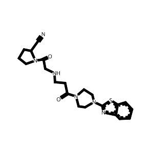 N#CC1CCCN1C(=O)CNCCC(=O)N1CCN(c2nc3ccccc3s2)CC1